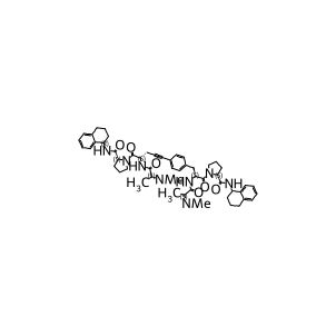 CN[C@@H](C)C(=O)N[C@@H](Cc1ccc(C#CC[C@H](NC(=O)[C@H](C)NC)C(=O)N2CCC[C@H]2C(=O)N[C@@H]2CCCc3ccccc32)cc1)C(=O)N1CCC[C@H]1C(=O)NC1CCCc2ccccc21